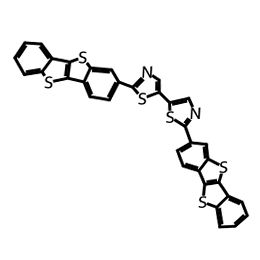 c1ccc2c(c1)sc1c3ccc(-c4ncc(-c5cnc(-c6ccc7c(c6)sc6c8ccccc8sc76)s5)s4)cc3sc21